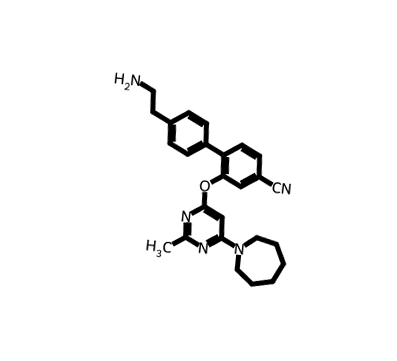 Cc1nc(Oc2cc(C#N)ccc2-c2ccc(CCN)cc2)cc(N2CCCCCC2)n1